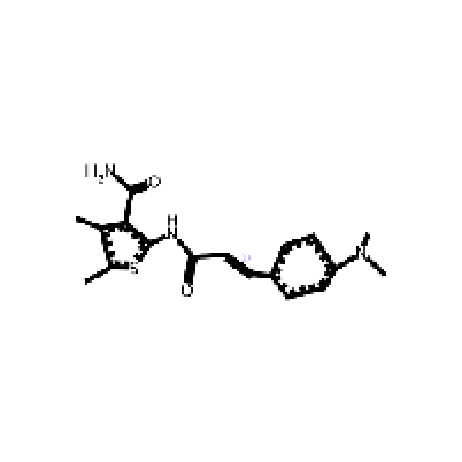 Cc1sc(NC(=O)/C=C/c2ccc(N(C)C)cc2)c(C(N)=O)c1C